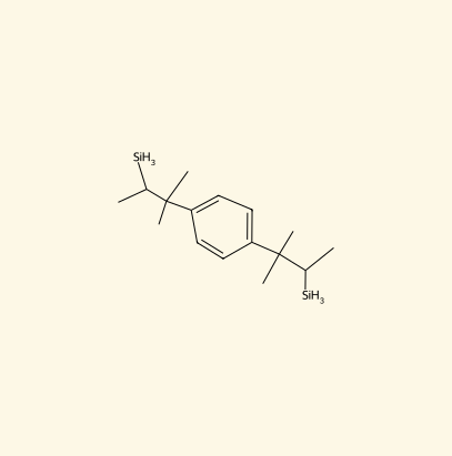 CC([SiH3])C(C)(C)c1ccc(C(C)(C)C(C)[SiH3])cc1